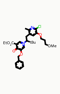 CCOC(=O)c1cn(C(Cc2cc(OCCCOC)c(Cl)nc2C)C(C)(C)C)cc(OCc2ccccc2)c1=O